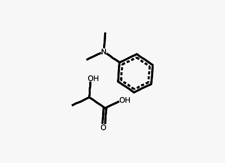 CC(O)C(=O)O.CN(C)c1ccccc1